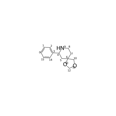 c1ccc(C2CC3(CCN2)COCO3)cc1